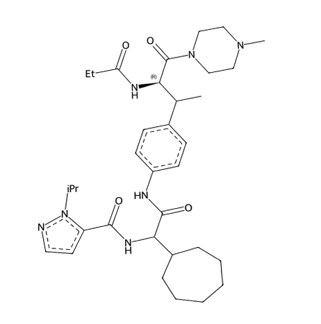 CCC(=O)N[C@@H](C(=O)N1CCN(C)CC1)C(C)c1ccc(NC(=O)C(NC(=O)c2ccnn2C(C)C)C2CCCCCC2)cc1